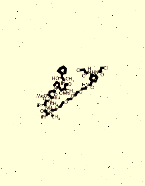 CCC(C)C(C(CC(=O)N1CCCC1C(OC)C(C)C(=O)N[C@@H](C)[C@H](O)c1ccccc1)OC)N(C)C(=O)[C@@H](NC(=O)C(C(C)C)N(C)C(=O)COCCOCCOCCOCCNC(=O)c1ccc(NC(=O)CCl)c(NC(=O)CCl)c1)C(C)C